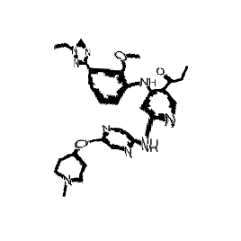 CCC(=O)c1cnc(Nc2cnc(OC3CCN(C)CC3)cn2)cc1Nc1cccc(-c2ncn(C)n2)c1OC